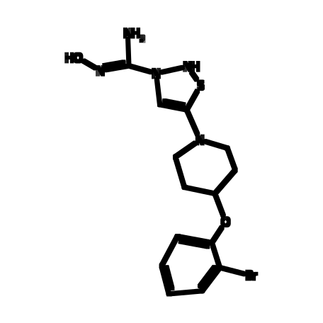 NC(=NO)N1C=C(N2CCC(Oc3ccccc3Br)CC2)SN1